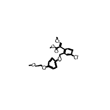 COC=C(C(=O)OC)c1ccc(Cl)cc1COc1ccc(OCCOC)cc1